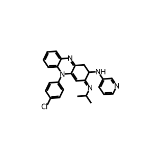 CC(C)N=C1C=C2C(=Nc3ccccc3N2c2ccc(Cl)cc2)CC1Nc1cccnc1